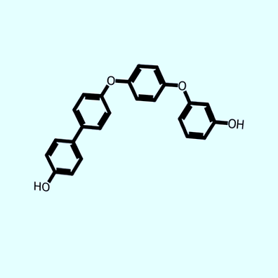 Oc1ccc(-c2ccc(Oc3ccc(Oc4cccc(O)c4)cc3)cc2)cc1